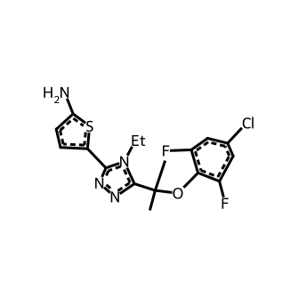 CCn1c(-c2ccc(N)s2)nnc1C(C)(C)Oc1c(F)cc(Cl)cc1F